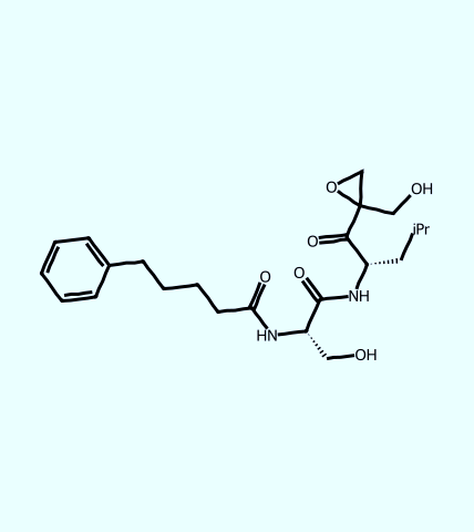 CC(C)C[C@H](NC(=O)[C@H](CO)NC(=O)CCCCc1ccccc1)C(=O)C1(CO)CO1